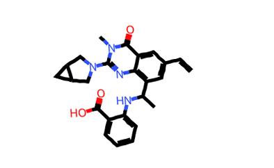 C=Cc1cc(C(C)Nc2ccccc2C(=O)O)c2nc(N3CC4CC4C3)n(C)c(=O)c2c1